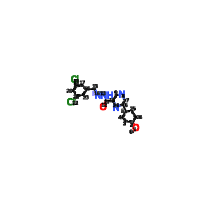 COc1ccc(-c2cncc(C(=O)N/N=C/c3cc(Cl)cc(Cl)c3)n2)cc1